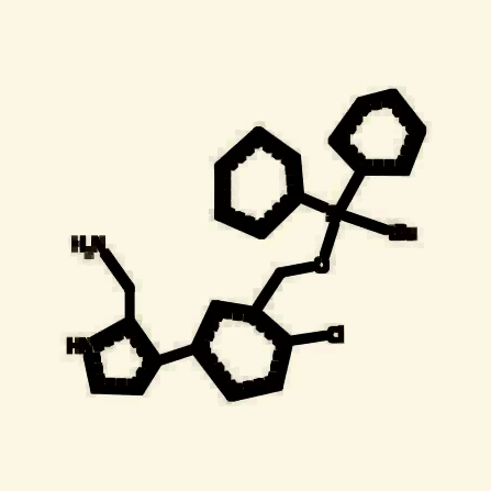 CC(C)(C)[Si](OCc1cc(-c2cc[nH]c2CN)ccc1Cl)(c1ccccc1)c1ccccc1